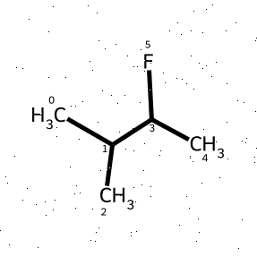 CC(C)C(C)F